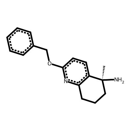 C[C@]1(N)CCCc2nc(OCc3ccccc3)ccc21